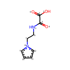 O=C(O)C(=O)NCCn1cccc1